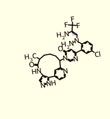 CC1CCCC(n2cnc(-c3cc(Cl)ccc3N(N)/C=C(\N)C(F)(F)F)cc2=O)c2cc(ccn2)-c2[nH]ncc2NC1=O